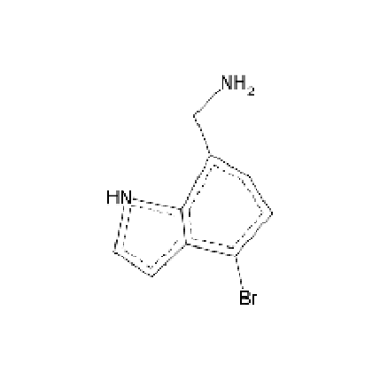 NCc1ccc(Br)c2cc[nH]c12